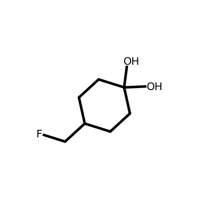 OC1(O)CCC(CF)CC1